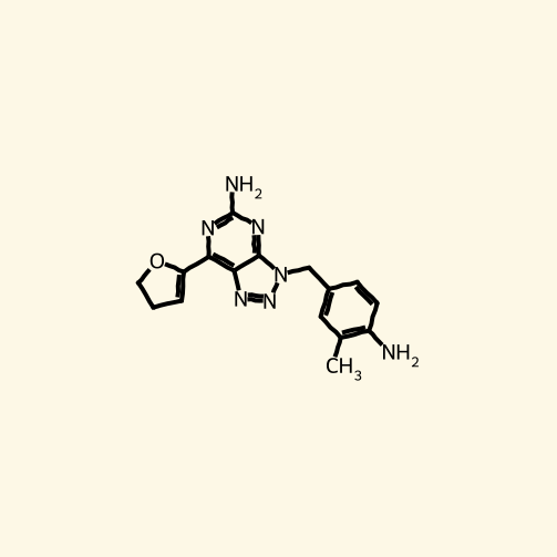 Cc1cc(Cn2nnc3c(C4=CCCO4)nc(N)nc32)ccc1N